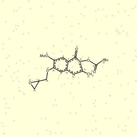 COc1cc2c(=O)n(OC(=O)C(C)(C)C)c(C)nc2cc1OCC1CO1